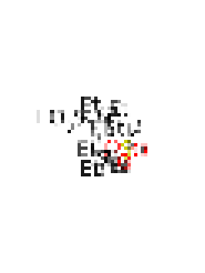 C=C([Si](CC)(CC)CC)S(=O)(=O)O.C=CS(=O)(=O)O[Si](CC)(CC)CC